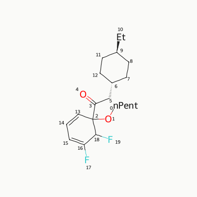 CCCCCOC1(C(=O)C[C@H]2CC[C@H](CC)CC2)C=CC=C(F)C1F